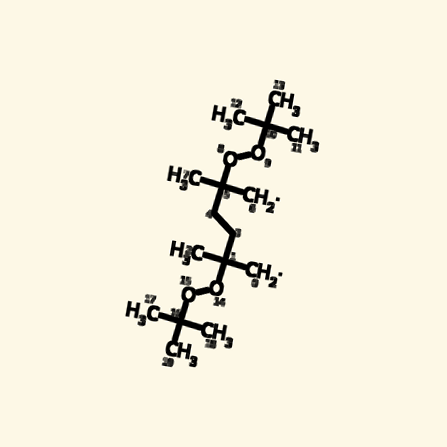 [CH2]C(C)(CCC([CH2])(C)OOC(C)(C)C)OOC(C)(C)C